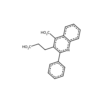 O=C(O)CCc1c(-c2ccccc2)nc2ccccc2c1C(=O)O